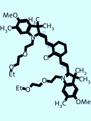 CCOCCOCCN1/C(=C\C=C2/CCCC(/C=C/C3=[N+](CCOCCOCC)c4cc(C)c(OC)cc4C3(C)C)=C2Cl)C(C)(C)c2cc(OC)c(C)cc21